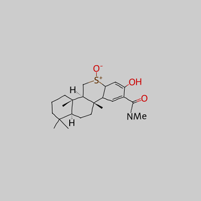 CNC(=O)C1=CC2C(C=C1O)[S+]([O-])C[C@@H]1[C@@]3(C)CCCC(C)(C)[C@@H]3CC[C@@]21C